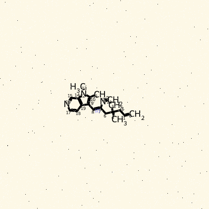 C=CCC(C)(C)C/C(=C/c1c(C)n(C)c2cnccc12)N=C